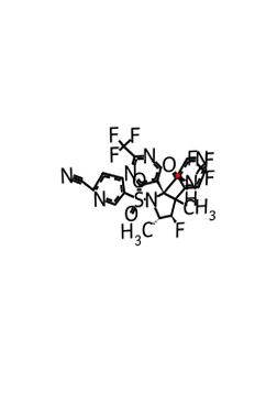 C[C@H]1[C@H](F)C(C)(c2ccncc2)[C@](C(=O)NC(F)(F)F)(c2cnc(C(F)(F)F)nc2)N1S(=O)(=O)c1ccc(C#N)nc1